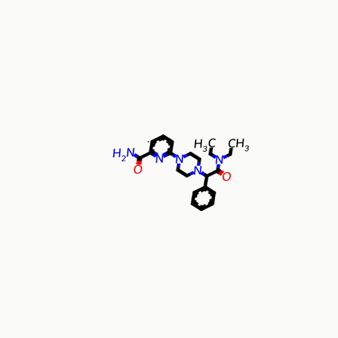 CCN(CC)C(=O)C(c1ccccc1)N1CCN(c2cc[c]c(C(N)=O)n2)CC1